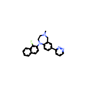 CN1CCN(c2ccc3ccccc3c2F)c2ccc(-c3cccnn3)cc2C1